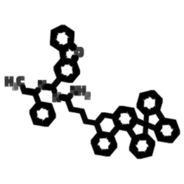 C\C=C(/N=C(\N=C(/N)CCCC1Cc2ccc3c(c2-c2ccccc21)-c1ccccc1C31c2ccccc2-c2ccccc21)c1ccc2oc3ccccc3c2c1)c1ccccc1